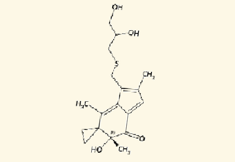 CC1=C(CSCC(O)CO)C2=C(C)C3(CC3)[C@@](C)(O)C(=O)C2=C1